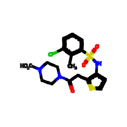 Cc1c(Cl)cccc1S(=O)(=O)Nc1ccsc1CC(=O)N1CCN(C(=O)O)CC1